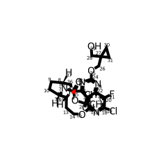 CC(C)(C)OC(=O)N1[C@@H]2CC[C@H]1[C@H]1CCOc3nc(Cl)c(F)c4nc(OCC5(CO)CC5)nc(c34)N1C2